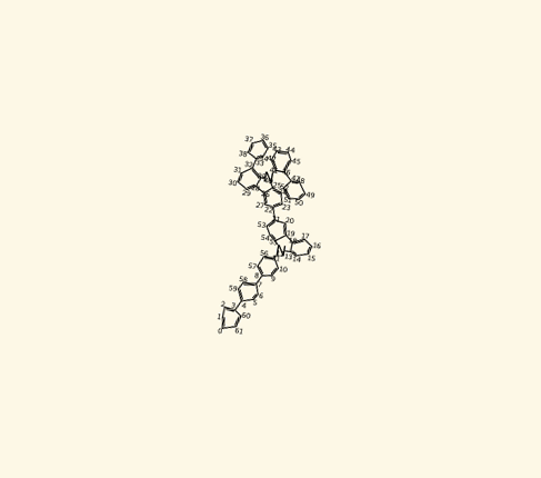 c1ccc(-c2ccc(-c3ccc(-n4c5ccccc5c5cc(-c6ccc7c(c6)c6cccc(-c8ccccc8)c6n7-c6ccccc6-c6ccccc6)ccc54)cc3)cc2)cc1